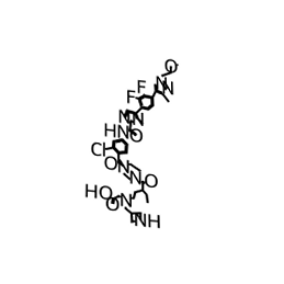 CCC(CCN(CC(=O)O)CC1CNC1)C(=O)N1CCN(C(=O)c2ccc(NC(=O)c3ncc(-c4ccc(-c5cn(CCOC)nc5C)c(F)c4F)n3C)cc2Cl)CC1